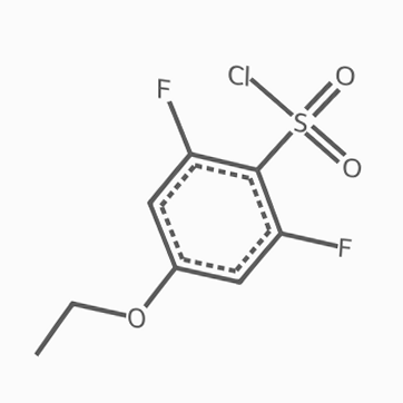 CCOc1cc(F)c(S(=O)(=O)Cl)c(F)c1